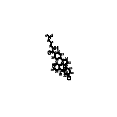 CN(C)CCCNC(=O)c1ccc(-c2ccc(-c3ccc(Cl)cc3)n2-c2cnccc2C(F)(F)F)cc1